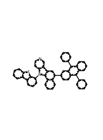 c1ccc(-c2c3ccccc3c(-c3ccccc3)c3cc(-c4cc5c6cnccc6n(-c6cccc7c6sc6ccccc67)c5c5ccccc45)ccc23)cc1